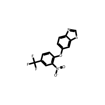 O=[N+]([O-])c1cc(C(F)(F)F)ccc1Oc1ccc2ncsc2c1